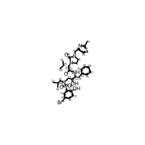 Cc1nc(CN2CCN([C@H](C(=O)N[C@@H](Cc3ccccc3)[C@@H](O)CN(CC(C)C)S(=O)(=O)c3cc(Br)ccc3O)C(C)C)C2=O)cs1